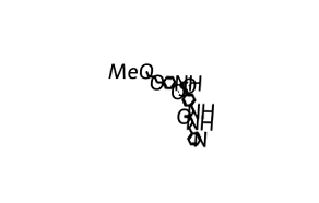 COCCOc1ccc(NS(=O)(=O)c2ccc(NC(=O)NCc3cccnc3)cc2)cc1